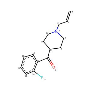 C=CCN1CCC(C(=O)c2ccccc2F)CC1